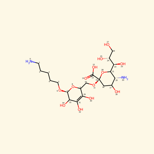 NCCCCCO[C@H]1OC(CO[C@]2(C(=O)O)CC(O)[C@@H](N)C([C@H](O)[C@H](O)CO)O2)C(O)=C(O)C1O